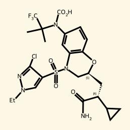 CCn1cc(S(=O)(=O)N2C[C@H](C[C@@H](C(N)=O)C3CC3)Oc3ccc(N(C(=O)O)C(C)(C)C(F)(F)F)cc32)c(Cl)n1